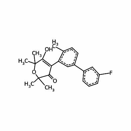 Cc1ccc(-c2cccc(F)c2)cc1C1=C(O)C(C)(C)OC(C)(C)C1=O